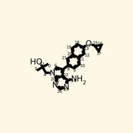 CC(C)(O)Cn1cc(-c2ccc3cc(OC4CC4)ccc3c2)c2c(N)ncnc21